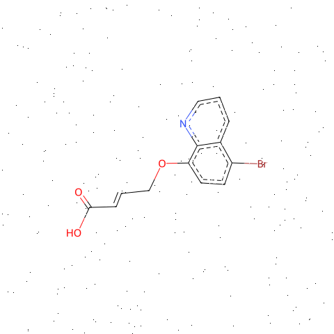 O=C(O)/C=C/COc1ccc(Br)c2cccnc12